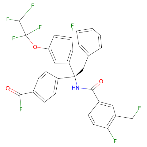 O=C(F)c1ccc([C@@](Cc2ccccc2)(NC(=O)c2ccc(F)c(CF)c2)c2cc(F)cc(OC(F)(F)C(F)F)c2)cc1